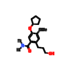 CCN(CC)C(=O)c1cc(OC2CCCC2)c(OC)cc1CCCO